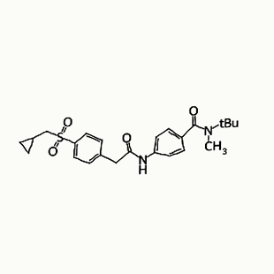 CN(C(=O)c1ccc(NC(=O)Cc2ccc(S(=O)(=O)CC3CC3)cc2)cc1)C(C)(C)C